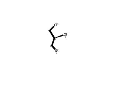 CC[CH][C@H](O)CCl